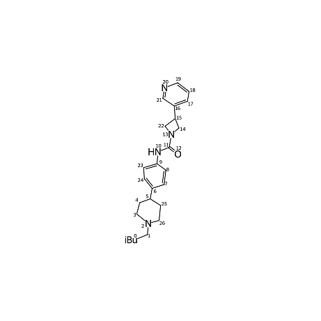 CCC(C)CN1CCC(c2ccc(NC(=O)N3CC(c4cccnc4)C3)cc2)CC1